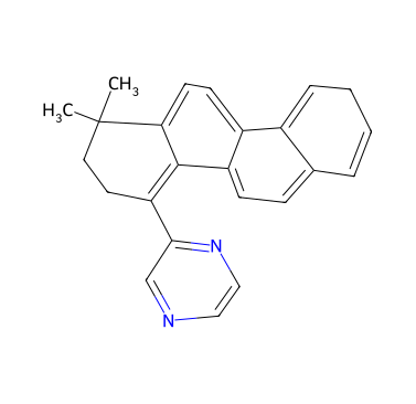 CC1(C)CCC(c2cnccn2)=c2c1ccc1c3c(ccc21)C=CCC=3